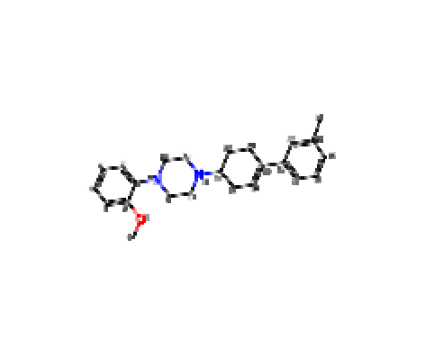 COc1ccccc1N1CCN(C2CC=C(c3cccc(C)c3)CC2)CC1